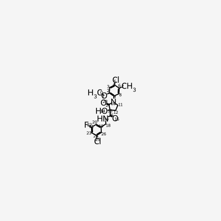 COc1cc(Cl)c(C)cc1N1CCC(O)(C(=O)NCc2cc(F)cc(Cl)c2)C1=O